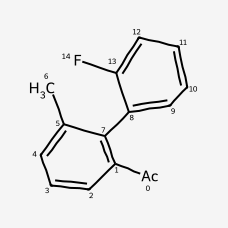 CC(=O)c1cccc(C)c1-c1ccccc1F